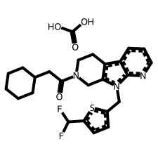 O=C(CC1CCCCC1)N1CCc2c(n(Cc3ccc(C(F)F)s3)c3ncccc23)C1.O=C(O)O